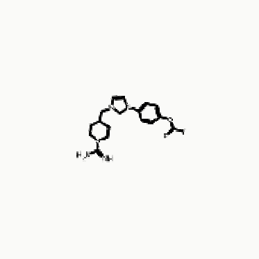 N=C(N)N1CCC(CN2C=CN(c3ccc(OC(F)F)cc3)C2)CC1